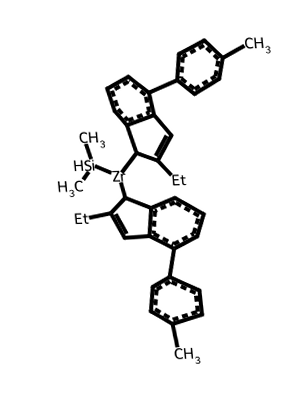 CCC1=Cc2c(-c3ccc(C)cc3)cccc2[CH]1[Zr]([CH]1C(CC)=Cc2c(-c3ccc(C)cc3)cccc21)[SiH](C)C